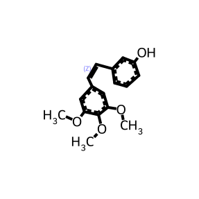 COc1cc(/C=C\c2cccc(O)c2)cc(OC)c1OC